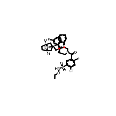 CCONS(=O)(=O)c1cc(C(=O)N2CCC(CCN3[C@@H]4CC[C@H]3C[C@@H](n3c(C)nc5ccccc53)C4)(c3cccc(F)c3)CC2)c(F)cc1Cl